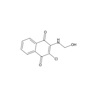 O=C1C(Cl)=C(NCO)C(=O)c2ccccc21